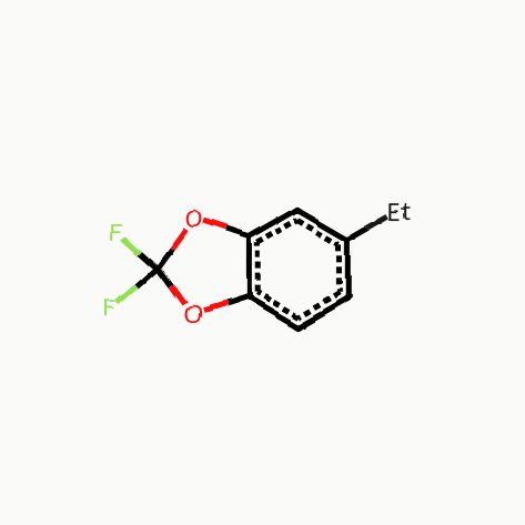 [CH2]Cc1ccc2c(c1)OC(F)(F)O2